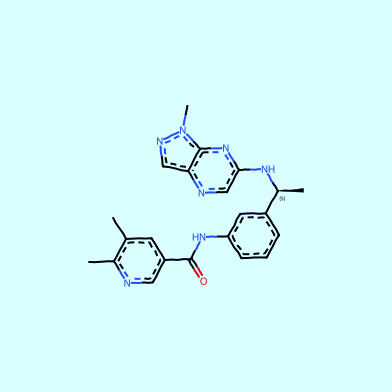 Cc1cc(C(=O)Nc2cccc([C@H](C)Nc3cnc4cnn(C)c4n3)c2)cnc1C